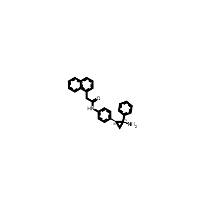 N[C@@]1(c2ccccc2)C[C@H]1c1ccc(NC(=O)Cc2cccc3ccccc23)cc1